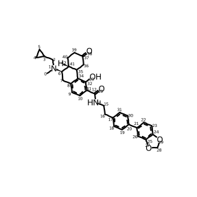 CN(CC1CC1)[C@@H]1Cc2ccc(C(=O)NCCc3ccc(-c4ccc5c(c4)OCO5)cc3)c(O)c2C2CC(=O)CC[C@H]21